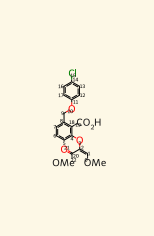 COC=C(Oc1cccc(COc2ccc(Cl)cc2)c1C(=O)O)C(=O)OC